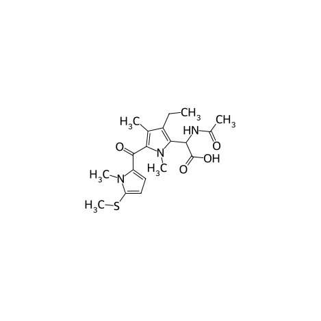 CCc1c(C)c(C(=O)c2ccc(SC)n2C)n(C)c1C(NC(C)=O)C(=O)O